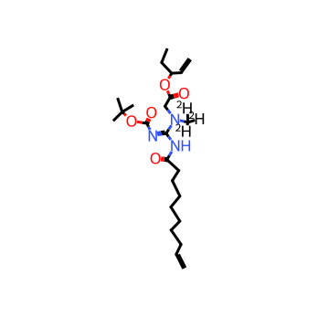 [2H]C([2H])([2H])N(CC(=O)OC(C=C)CC)/C(=N\C(=O)OC(C)(C)C)NC(=O)CCCCCCCC=C